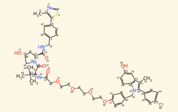 Cc1ncsc1-c1ccc(CNC(=O)[C@@H]2C[C@@H](O)CN2C(=O)[C@@H](NC(=O)COCCOCCOCCOc2ccc(Cn3c(-c4ccc(Cl)cc4)c(C)c4cc(O)ccc43)cc2)C(C)(C)C)cc1